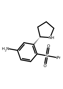 CC(C)S(=O)(=O)c1ccc(N)cc1[C@@H]1CCCN1